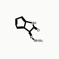 [CH2]C(=O)NN=C1C(=O)Nc2ccccc21